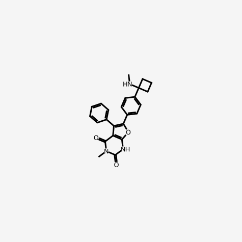 CNC1(c2ccc(-c3oc4[nH]c(=O)n(C)c(=O)c4c3-c3ccccc3)cc2)CCC1